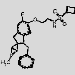 CN1C2C1C21Cc2cc(F)c(OCCNS(=O)(=O)C3CCC3)cc2C1Cc1ccccc1